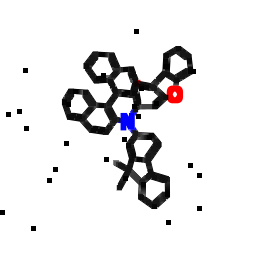 CC1(C)c2ccccc2-c2ccc(N(c3ccc4c(c3)oc3ccccc34)c3ccc4ccccc4c3-c3cccc4ccccc34)cc21